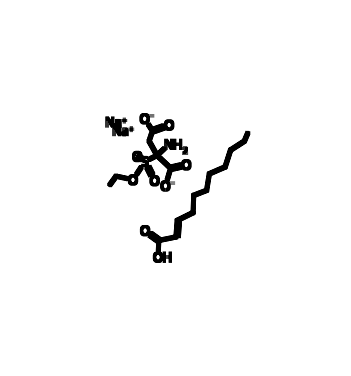 CCCCCCCCC=CC(=O)O.CCOS(=O)(=O)C(N)(CC(=O)[O-])C(=O)[O-].[Na+].[Na+]